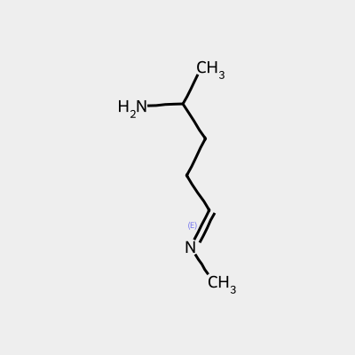 C/N=C/CCC(C)N